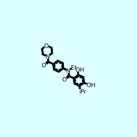 CCN(C(=O)c1cc(C(C)C)c(O)cc1O)c1ccc(C(=O)N2CCOCC2)cc1